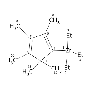 C[CH2][Zr]([CH2]C)([CH2]C)[C]1=C(C)C(C)=C(C)C1(C)C